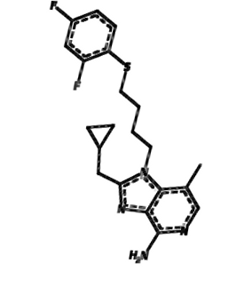 Cc1cnc(N)c2nc(CC3CC3)n(CCCCSc3ccc(F)cc3F)c12